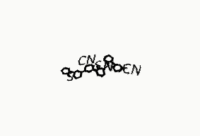 N#Cc1ccc2c(c1)c1ccccc1n2-c1cccc2c1sc1c(C#N)cc(-c3ccc4sc5ccccc5c4c3)cc12